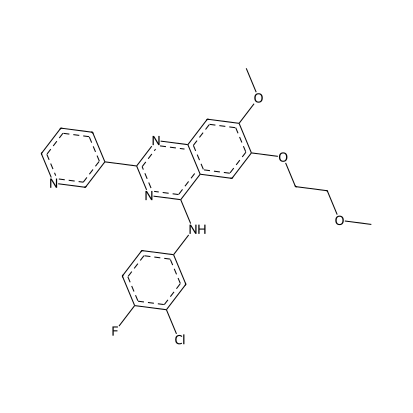 COCCOc1cc2c(Nc3ccc(F)c(Cl)c3)nc(-c3cccnc3)nc2cc1OC